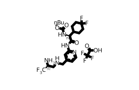 CCCCOC(=O)N[C@H](C(=O)Nc1cc(CNC[C@H](N)C(F)(F)F)ccn1)C1CCC(F)(F)CC1.O=C(O)C(F)(F)F